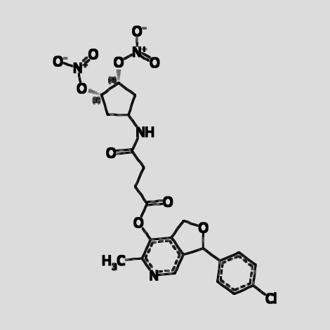 Cc1ncc2c(c1OC(=O)CCC(=O)NC1C[C@H](O[N+](=O)[O-])[C@H](O[N+](=O)[O-])C1)COC2c1ccc(Cl)cc1